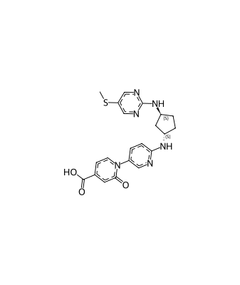 CSc1cnc(N[C@H]2CC[C@H](Nc3ccc(-n4ccc(C(=O)O)cc4=O)cn3)C2)nc1